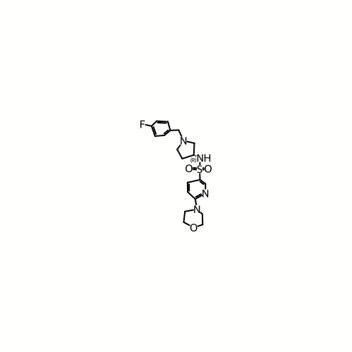 O=S(=O)(N[C@@H]1CCN(Cc2ccc(F)cc2)C1)c1ccc(N2CCOCC2)nc1